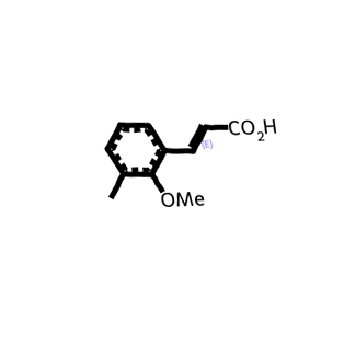 COc1c(C)cccc1/C=C/C(=O)O